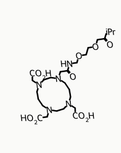 CC(C)C(=O)COCCOCNC(=O)CN1CCCN(CC(=O)O)CCN(CC(=O)O)CCCN(CC(=O)O)CC1